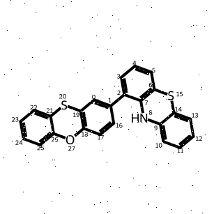 [c]1c(-c2cccc3c2Nc2ccccc2S3)ccc2c1Sc1ccccc1O2